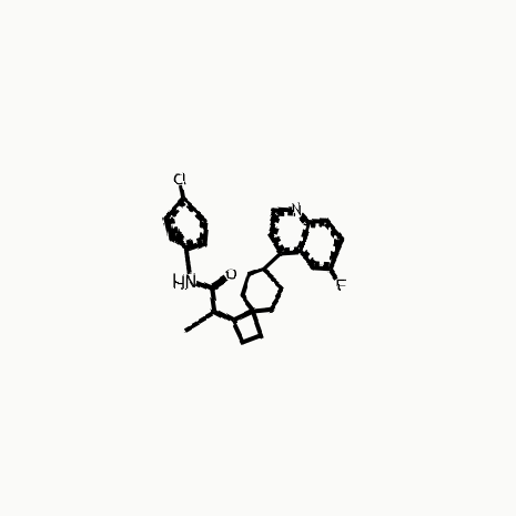 CC(C(=O)Nc1ccc(Cl)cc1)C1CCC12CCC(c1ccnc3ccc(F)cc13)CC2